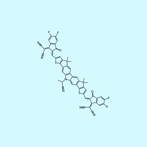 CC(C#N)n1c2cc3c(cc2c2cc4c(cc21)-c1sc(/C=C2\C(=O)c5cc(F)c(F)cc5C2=C(C#N)C#N)cc1S4(C)C)S(C)(C)c1cc(/C=C2\C(=O)c4cc(F)c(F)cc4C2=C(C#N)C#N)sc1-3